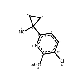 COc1nc(C2(C#N)CC2)ccc1Cl